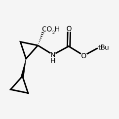 CC(C)(C)OC(=O)N[C@]1(C(=O)O)C[C@@H]1C1CC1